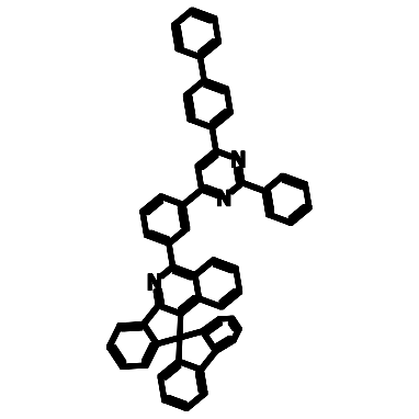 c1ccc(-c2ccc(-c3cc(-c4cccc(-c5nc6c(c7ccccc57)C5(c7ccccc7-c7ccccc75)c5ccccc5-6)c4)nc(-c4ccccc4)n3)cc2)cc1